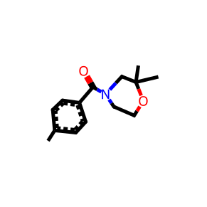 Cc1ccc(C(=O)N2CCOC(C)(C)C2)cc1